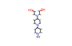 CCN1CCC(N2CCC(N(CCO)CCO)CC2)CC1